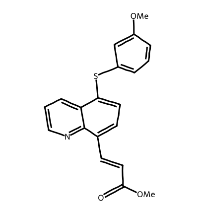 COC(=O)/C=C/c1ccc(Sc2cccc(OC)c2)c2cccnc12